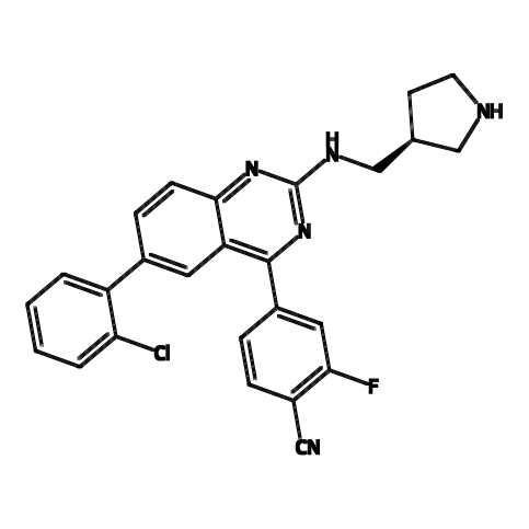 N#Cc1ccc(-c2nc(NC[C@H]3CCNC3)nc3ccc(-c4ccccc4Cl)cc23)cc1F